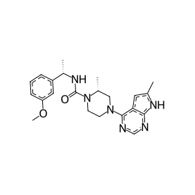 COc1cccc([C@H](C)NC(=O)N2CCN(c3ncnc4[nH]c(C)cc34)C[C@H]2C)c1